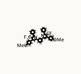 COc1ccc(-c2cc(-c3cccc(-c4cc(-c5ccc(OC)cc5)c(C(F)(F)F)c(-c5ccccc5)n4)c3)nc(-c3ccccc3)c2C(F)(F)F)cc1